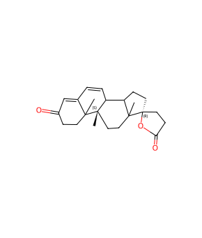 CC12CC[C@@]3(C)C(C=CC4=CC(=O)CCC43C)C1CC[C@@]21CCC(=O)O1